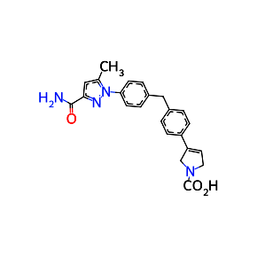 Cc1cc(C(N)=O)nn1-c1ccc(Cc2ccc(C3=CCN(C(=O)O)C3)cc2)cc1